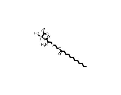 CCCCCCCCCCCC(=O)OCCSC[C@H](N)C(=O)N[C@@H](CO)C(=O)OC